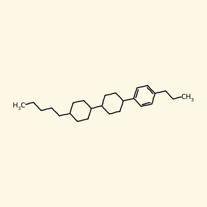 CCCCCC1CCC(C2CCC(c3ccc(CCC)cc3)CC2)CC1